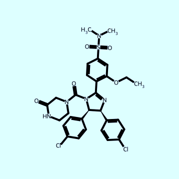 CCOc1cc(S(=O)(=O)N(C)C)ccc1C1=N[C@@H](c2ccc(Cl)cc2)[C@@H](c2ccc(Cl)cc2)N1C(=O)N1CCNC(=O)C1